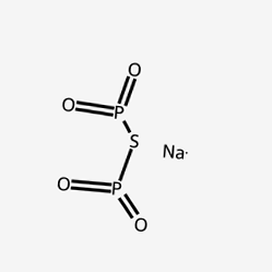 O=P(=O)SP(=O)=O.[Na]